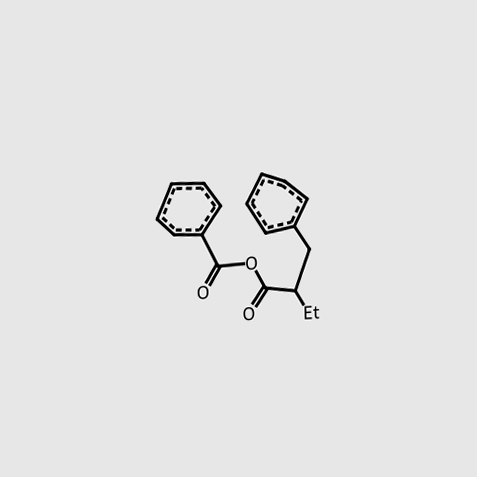 CCC(Cc1ccccc1)C(=O)OC(=O)c1ccccc1